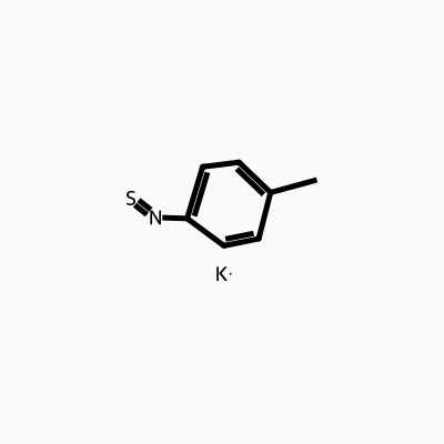 Cc1ccc(N=S)cc1.[K]